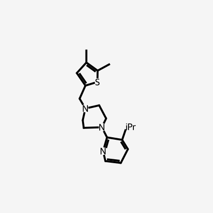 Cc1cc(CN2CCN(c3ncccc3C(C)C)CC2)sc1C